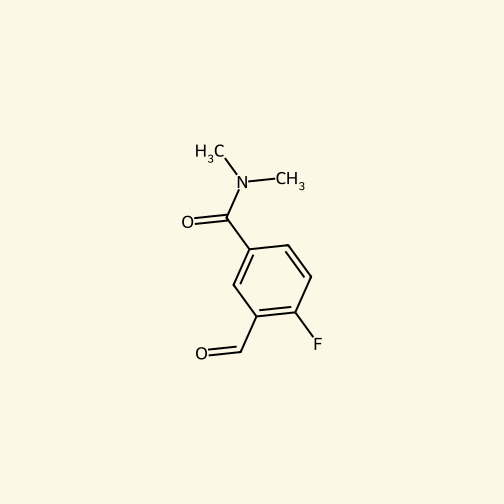 CN(C)C(=O)c1ccc(F)c(C=O)c1